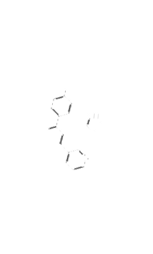 C=CC=O.O=C(C=Cc1cccnc1)c1ccc(F)cc1